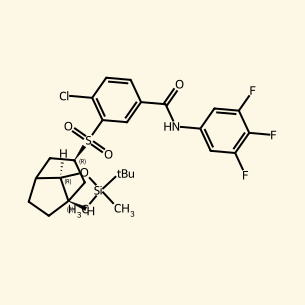 CC(C)(C)[Si](C)(C)O[C@@H]1C2CC[C@H]1C[C@H](S(=O)(=O)c1cc(C(=O)Nc3cc(F)c(F)c(F)c3)ccc1Cl)C2